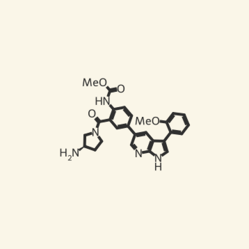 COC(=O)Nc1ccc(-c2cnc3[nH]cc(-c4ccccc4OC)c3c2)cc1C(=O)N1CC[C@@H](N)C1